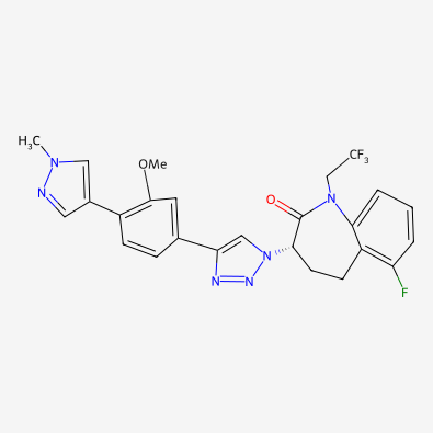 COc1cc(-c2cn([C@H]3CCc4c(F)cccc4N(CC(F)(F)F)C3=O)nn2)ccc1-c1cnn(C)c1